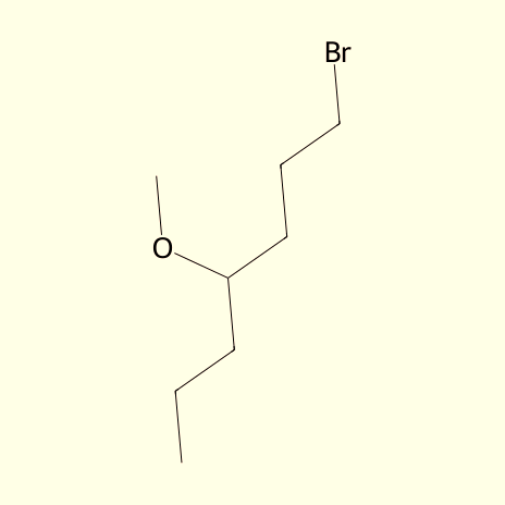 CCCC(CCCBr)OC